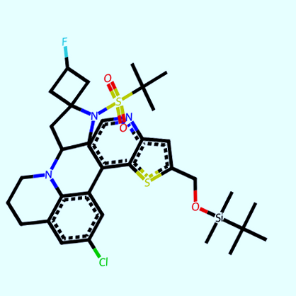 CC(C)(C)[Si](C)(C)OCc1cc2nccc(-c3cc(Cl)cc4c3N(C3CN(S(=O)(=O)C(C)(C)C)C5(CC(F)C5)C3)CCC4)c2s1